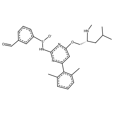 CN[C@@H](COc1cc(-c2c(C)cccc2C)nc(N[S+]([O-])c2cccc(C=O)c2)n1)CC(C)C